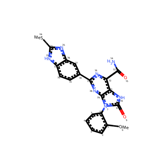 COc1ccccc1-n1c(=O)[nH]c2c(C(N)=O)nc(-c3ccc4[nH]c(SC)nc4c3)nc21